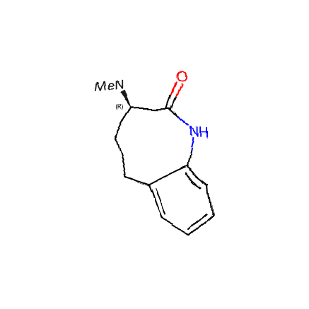 CN[C@@H]1CCc2ccccc2NC1=O